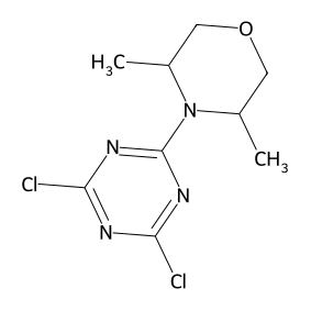 CC1COCC(C)N1c1nc(Cl)nc(Cl)n1